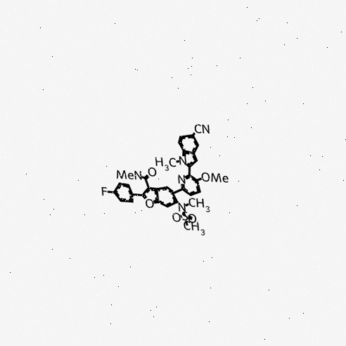 CNC(=O)c1c(-c2ccc(F)cc2)oc2cc(N(C)S(C)(=O)=O)c(-c3ccc(OC)c(-c4cc5cc(C#N)ccc5n4C)n3)cc12